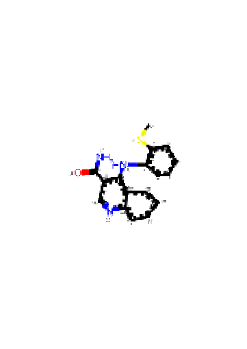 CSc1ccccc1Nc1c(C(N)=O)cnc2ccccc12